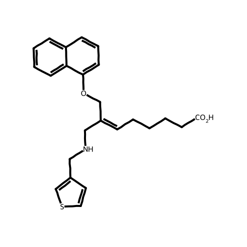 O=C(O)CCCC/C=C(/CNCc1ccsc1)COc1cccc2ccccc12